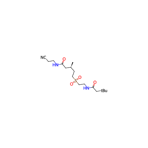 C[C@@H](CCS(=O)(=O)CCNC(=O)CC(C)(C)C)CC(=O)NCCC#N